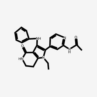 CCn1c2c(c(Nc3ccccc3)c1-c1ccnc(NC(C)=O)c1)C(=O)NCC2